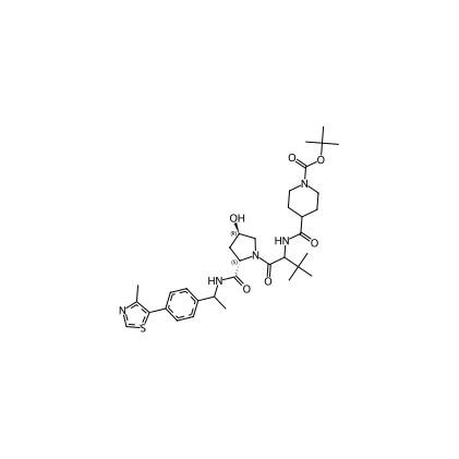 Cc1ncsc1-c1ccc(C(C)NC(=O)[C@@H]2C[C@@H](O)CN2C(=O)C(NC(=O)C2CCN(C(=O)OC(C)(C)C)CC2)C(C)(C)C)cc1